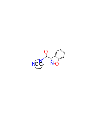 O=C(c1noc2ccccc12)N1CCN2CCC1CC2